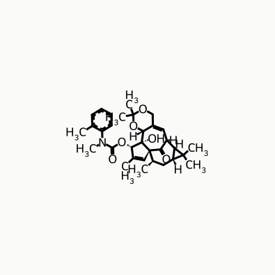 CC1=C[C@]23C(=O)[C@@H](C=C4COC(C)(C)O[C@H]4[C@]2(O)[C@H]1OC(=O)N(C)c1ccccc1C)[C@H]1[C@@H](C[C@H]3C)C1(C)C